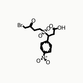 O=C(O)CC(c1ccc([N+](=O)[O-])cc1)S(=O)(=O)CCC(=O)CBr